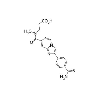 CN(CCC(=O)O)C(=O)c1ccn2cc(-c3ccc(C(N)=S)cc3)nc2c1